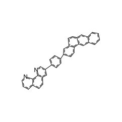 c1ccc2cc3c(ccc4cc(-c5ccc(-c6cnc7c(ccc8cccnc87)c6)cc5)ccc43)cc2c1